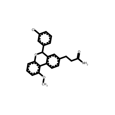 COc1cccc2c1-c1ccc(CCC(N)=O)cc1C(c1cccc(Cl)c1)O2